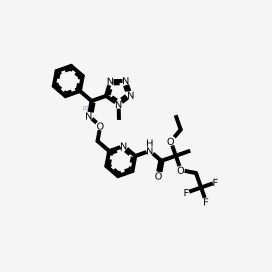 CCOC(C)(OCC(F)(F)F)C(=O)Nc1cccc(CO/N=C(/c2ccccc2)c2nnnn2C)n1